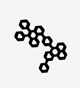 c1ccc(-c2ccc(N(c3ccccc3)c3ccc(-c4cccc5c(-c6ccccc6)c(-c6ccccc6)c6ccccc6c45)cc3)c(-c3ccccc3)c2)cc1